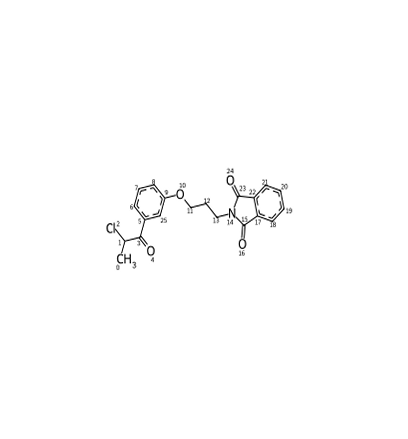 CC(Cl)C(=O)c1cccc(OCCCN2C(=O)c3ccccc3C2=O)c1